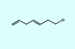 C=CCC=CCCBr